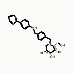 OC[C@@H]1[C@@H](O)[C@H](O)[C@@H](O)CN1Cc1ccc(CNc2ccc(-c3ncccn3)cc2)cc1